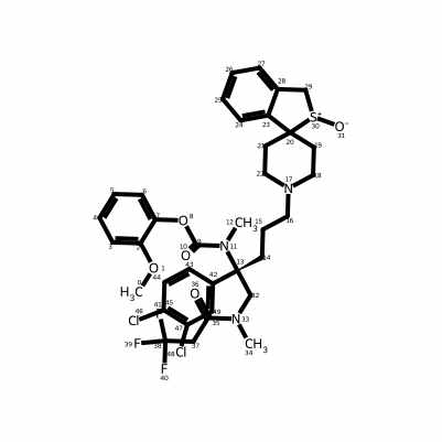 COc1ccccc1OC(=O)N(C)[C@](CCCN1CCC2(CC1)c1ccccc1C[S+]2[O-])(CN(C)C(=O)CC(F)(F)F)c1ccc(Cl)c(Cl)c1